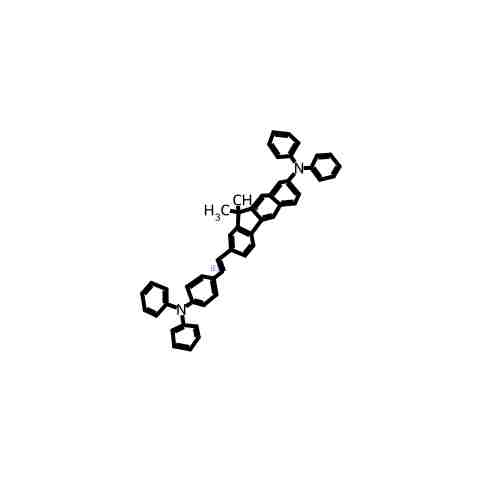 CC1(C)c2cc(/C=C/c3ccc(N(c4ccccc4)c4ccccc4)cc3)ccc2-c2cc3ccc(N(c4ccccc4)c4ccccc4)cc3cc21